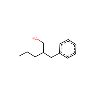 CCCC(CO)Cc1ccccc1